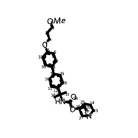 COCCCOc1ccc(-c2ccc(C(C)(C)NC(=O)OC3CN4CCC3CC4)cc2)cc1